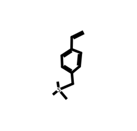 C=Cc1ccc(CS(C)(C)C)cc1